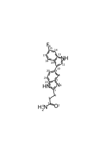 NC(=O)CCc1nc2cc(-c3c[nH]c4cc(F)ccc34)ccc2[nH]1